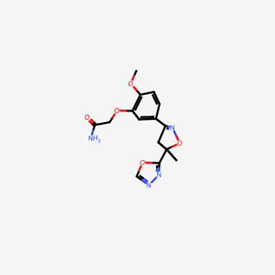 COc1ccc(C2=NOC(C)(c3nnco3)C2)cc1OCC(N)=O